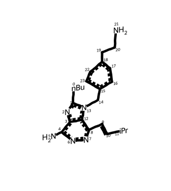 CCCCc1nc2c(N)nnc(/C=C/C(C)C)c2n1Cc1ccc(CCN)cc1